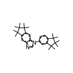 CC1(C)c2ccc(-n3cnc4cc5c(cc43)C(C)(C)C(C)(C)C5(C)C)cc2C(C)(C)C1(C)C